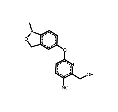 [C-]#[N+]c1ccc(Oc2ccc3c(c2)COB3C)nc1CO